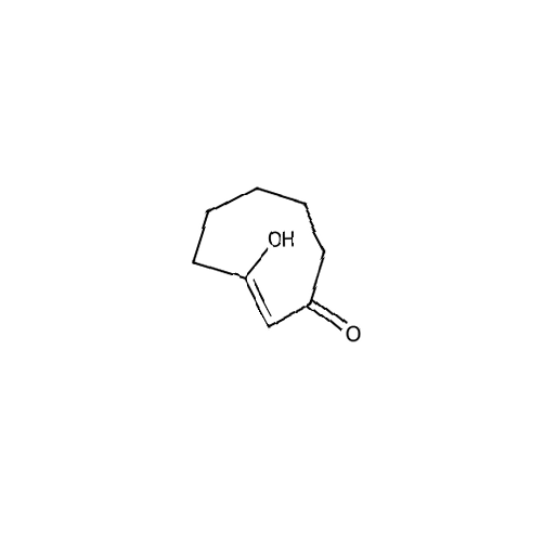 O=C1/C=C(\O)CCCCC1